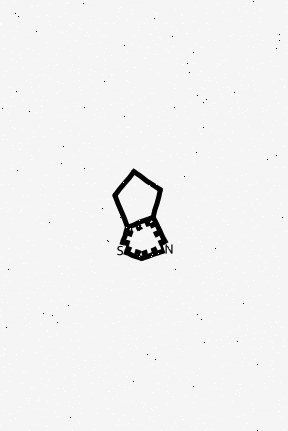 c1nc2c(s1)CCC2